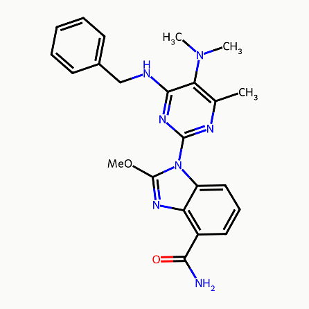 COc1nc2c(C(N)=O)cccc2n1-c1nc(C)c(N(C)C)c(NCc2ccccc2)n1